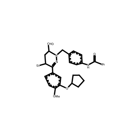 CCC1CC(C=O)N(Cc2ccc(NC(=O)C(C)C)cc2)N=C1c1ccc(OC)c(OC2CCCC2)c1